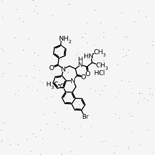 CNC(C)C(=O)NC1CN(C(=O)c2ccc(N)cc2)c2ccccc2N(Cc2c(OC)ccc3cc(Br)ccc23)C1=O.Cl